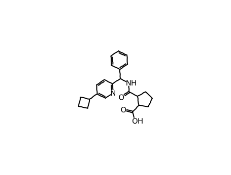 O=C(O)C1CCCC1C(=O)NC(c1ccccc1)c1ccc(C2CCC2)cn1